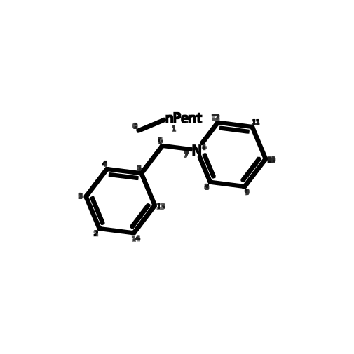 CCCCCC.c1ccc(C[n+]2ccccc2)cc1